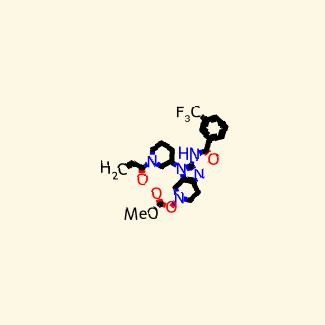 C=CC(=O)N1CCCC(n2c(NC(=O)c3cccc(C(F)(F)F)c3)nc3c2CN(OC(=O)OC)CC3)C1